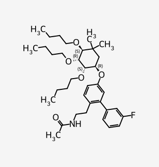 CCCCO[C@@H]1[C@H](OCCCC)[C@@H](OCCCC)C(C)(C)C[C@H]1Oc1ccc(CCNC(C)=O)c(-c2cccc(F)c2)c1